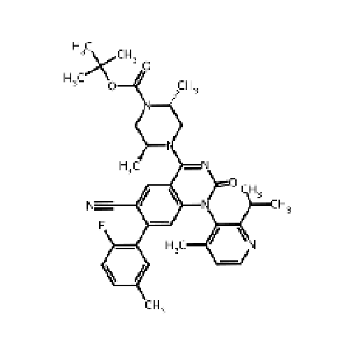 Cc1ccc(F)c(-c2cc3c(cc2C#N)c(N2C[C@@H](C)N(C(=O)OC(C)(C)C)C[C@@H]2C)nc(=O)n3-c2c(C)ccnc2C(C)C)c1